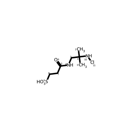 CC(C)(CNC(=O)CCS(=O)(=O)O)NCl